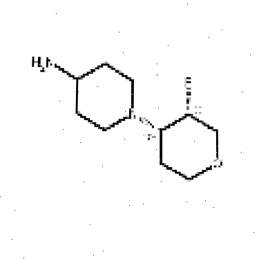 NC1CCN([C@H]2CCOC[C@H]2F)CC1